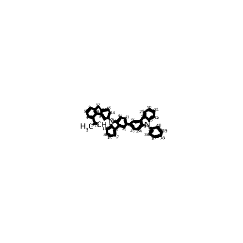 C=C(C)c1cccc2c1-c1cc(-n3c4ccccc4c4cc(-c5ccc6c(c5)c5ccccc5n6-c5ccccc5)ccc43)ccc1C2